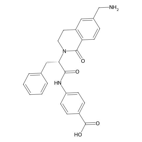 NCc1ccc2c(c1)CCN([C@@H](Cc1ccccc1)C(=O)Nc1ccc(C(=O)O)cc1)C2=O